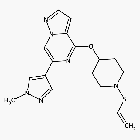 C=CSN1CCC(Oc2nc(-c3cnn(C)c3)cn3nccc23)CC1